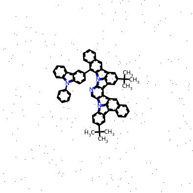 CC(C)(C)c1ccc2c(c1)c1c3ccccc3cc3c4c5c6cc(C(C)(C)C)cc7c8cc9ccccc9c(-c9ccc%10c(c9)c9ccccc9n%10-c9ccccc9)c8n(c5ncc4n2c31)c76